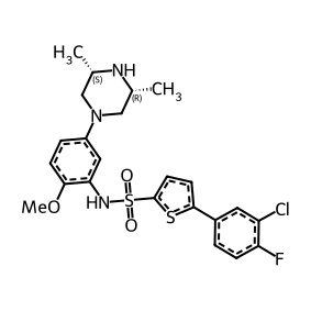 COc1ccc(N2C[C@@H](C)N[C@@H](C)C2)cc1NS(=O)(=O)c1ccc(-c2ccc(F)c(Cl)c2)s1